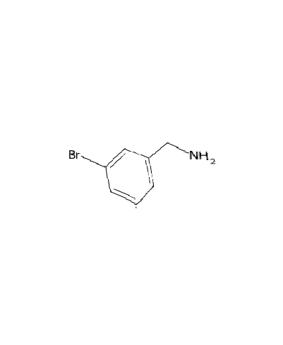 NCc1c[c]cc(Br)c1